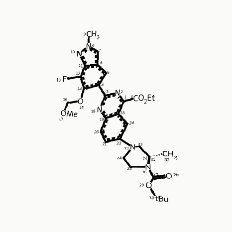 CCOC(=O)c1nc(-c2cc3cn(C)nc3c(F)c2OCOC)nc2ccc(N3CCN(C(=O)OC(C)(C)C)[C@@H](C)C3)cc12